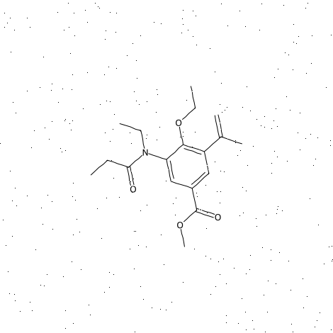 C=C(C)c1cc(C(=O)OC)cc(N(CC)C(=O)CC)c1OCC